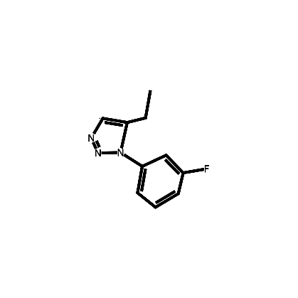 CCc1[c]nnn1-c1cccc(F)c1